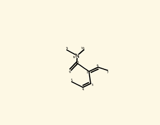 C=C(C(/C=C\C)=C/C)N(C)C